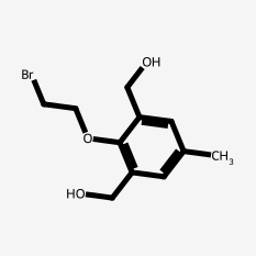 Cc1cc(CO)c(OCCBr)c(CO)c1